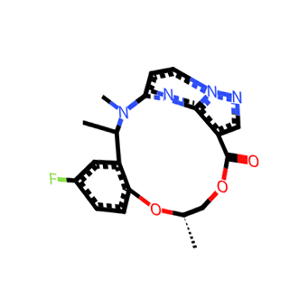 CC1c2cc(F)ccc2O[C@@H](C)COC(=O)c2cnn3ccc(nc23)N1C